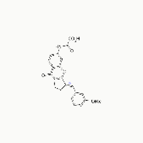 COc1cccc(/C=C2\CCc3c2oc2cc(NC(=O)C(=O)O)ccc2c3=O)c1